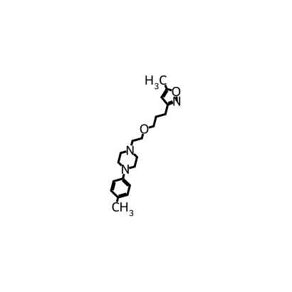 Cc1ccc(N2CCN(CCOCCCc3cc(C)on3)CC2)cc1